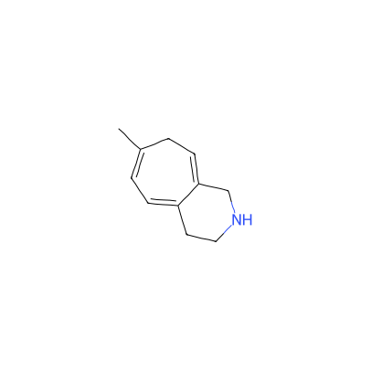 CC1=CC=C2CCNCC2=CC1